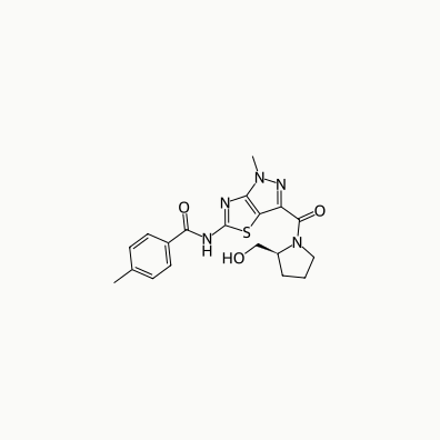 Cc1ccc(C(=O)Nc2nc3c(s2)c(C(=O)N2CCC[C@H]2CO)nn3C)cc1